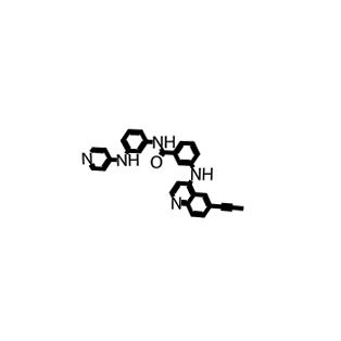 CC#Cc1ccc2nccc(Nc3cccc(C(=O)Nc4cccc(Nc5ccncc5)c4)c3)c2c1